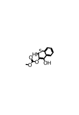 COC(=O)OC1=C(O)c2ccccc2SN1